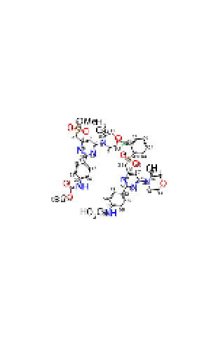 COS(=O)(=O)Cc1cc(N2CCOC[C@@H]2C)nc(-c2ccc(NC(=O)OC(C)(C)C)cc2)n1.C[C@H]1COCCN1c1cc(CS(=O)(=O)c2ccccc2F)nc(-c2ccc(NC(=O)O)cc2)n1